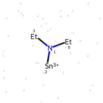 CC[N]([Sn+3])CC